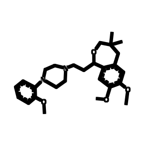 COc1cc2c(cc1OC)C(CCN1CCN(c3ccccc3OC)CC1)OCC(C)(C)C2